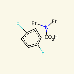 CCN(CC)C(=O)O.Fc1ccc(F)cc1